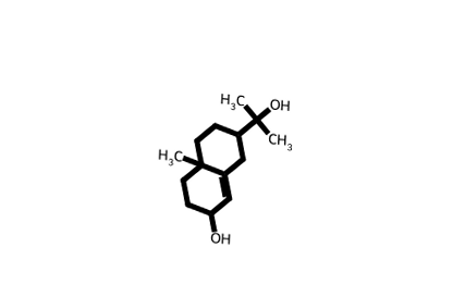 CC12CCC(O)C=C1CC(C(C)(C)O)CC2